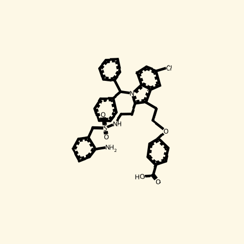 Nc1ccccc1CS(=O)(=O)NCCc1c(CCOc2ccc(C(=O)O)cc2)c2cc(Cl)ccc2n1C(c1ccccc1)c1ccccc1